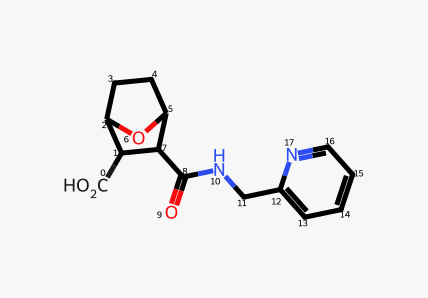 O=C(O)C1C2CCC(O2)C1C(=O)NCc1ccccn1